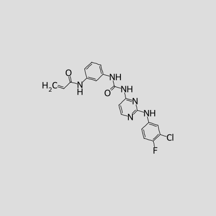 C=CC(=O)Nc1cccc(NC(=O)Nc2ccnc(Nc3ccc(F)c(Cl)c3)n2)c1